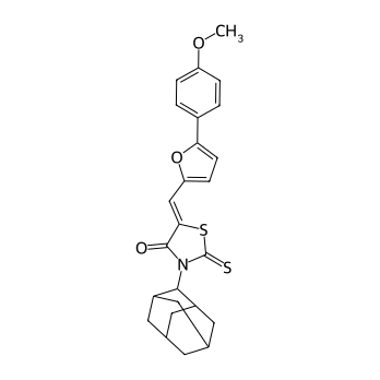 COc1ccc(-c2ccc(/C=C3\SC(=S)N(C4C5CC6CC(C5)CC4C6)C3=O)o2)cc1